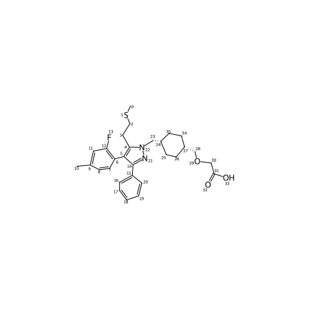 CSCCc1c(-c2ccc(C)cc2F)c(-c2ccccc2)nn1C[C@H]1CC[C@@H](COCC(=O)O)CC1